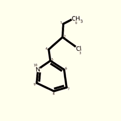 CCC(Cl)Cc1ccccn1